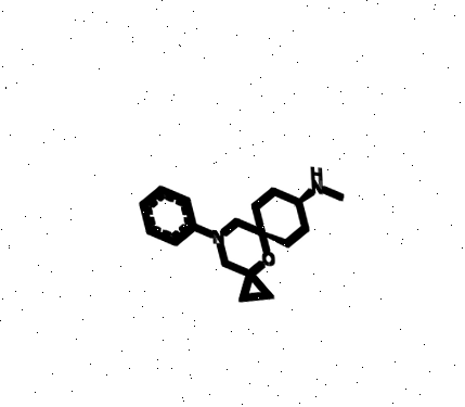 CN[C@H]1CC[C@]2(CC1)CN(c1ccccc1)CC1(CC1)O2